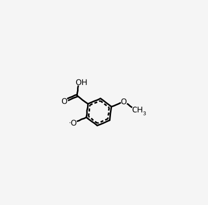 COc1ccc([O])c(C(=O)O)c1